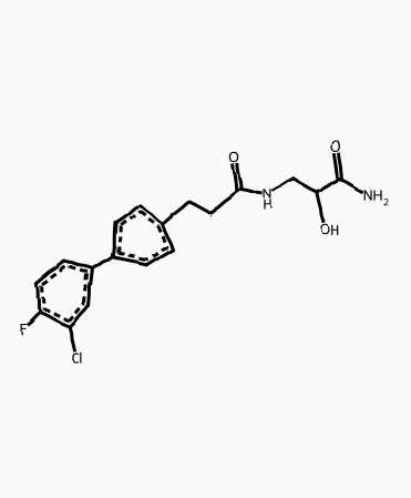 NC(=O)C(O)CNC(=O)[CH]Cc1ccc(-c2ccc(F)c(Cl)c2)cc1